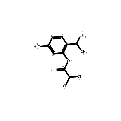 Cc1ccc(C(C)C)c(OC(=O)C(Cl)Cl)c1